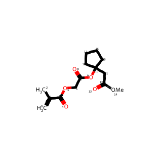 C=C(C)C(=O)OCC(=O)OC1(CC(=O)OC)CCCC1